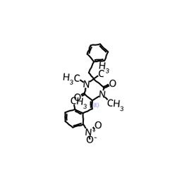 Cc1cccc([N+](=O)[O-])c1/C=C1\C(=O)N(C)C(C)(Cc2ccccc2)C(=O)N1C